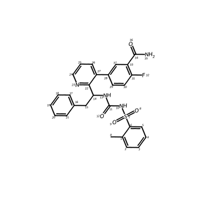 Cc1ccccc1S(=O)(=O)NC(=O)NC(Cc1ccccc1)c1ncccc1-c1ccc(F)c(C(N)=O)c1